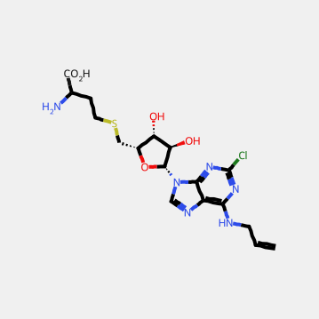 C=CCNc1nc(Cl)nc2c1ncn2[C@@H]1O[C@H](CSCCC(N)C(=O)O)[C@H](O)[C@H]1O